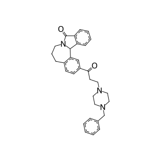 O=C(CCN1CCN(Cc2ccccc2)CC1)c1ccc2c(c1)C1c3ccccc3C(=O)N1CCC2